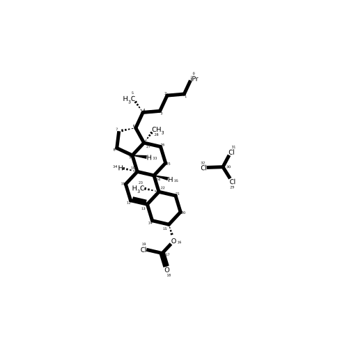 CC(C)CCC[C@@H](C)[C@H]1CC[C@H]2[C@@H]3CC=C4C[C@@H](OC(=O)Cl)CC[C@]4(C)[C@H]3CC[C@]12C.ClC(Cl)Cl